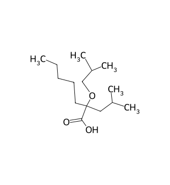 CCCCCC(CC(C)C)(OCC(C)C)C(=O)O